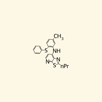 CCCc1nc2c(Nc3cc(C)ccc3Sc3ccccc3)ccnc2s1